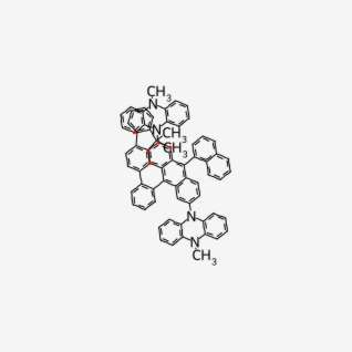 CN1c2ccccc2N(c2ccc3c(-c4cccc5ccccc45)c4cc(N5c6ccccc6N(C)c6ccccc65)ccc4c(-c4ccccc4-c4ccc5c(c4)C(C)(C)c4ccccc4-5)c3c2)c2ccccc21